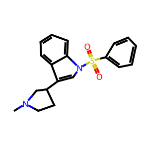 CN1CCC(c2cn(S(=O)(=O)c3ccccc3)c3ccccc23)C1